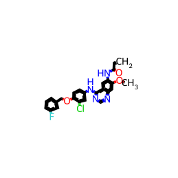 C=CC(=O)Nc1cc2c(Nc3ccc(OCc4cccc(F)c4)c(Cl)c3)ncnc2cc1OC